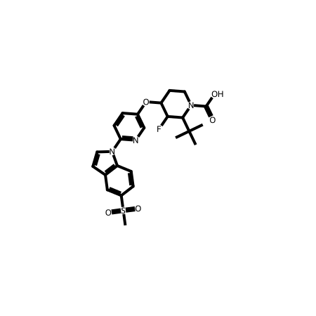 CC(C)(C)C1C(F)C(Oc2ccc(-n3ccc4cc(S(C)(=O)=O)ccc43)nc2)CCN1C(=O)O